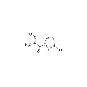 CON(C)C(=O)c1cccc(Cl)c1Cl